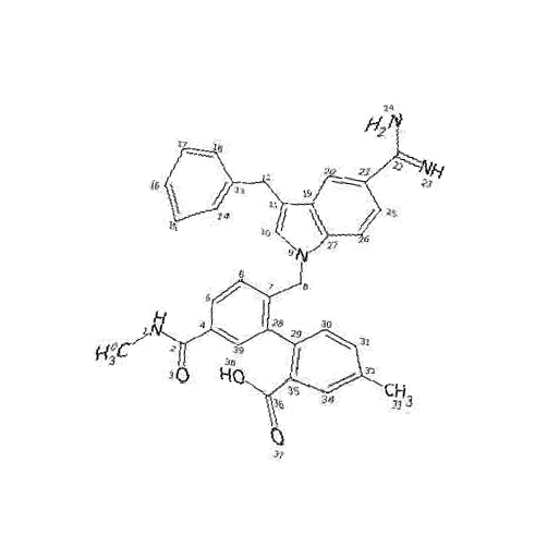 CNC(=O)c1ccc(Cn2cc(Cc3ccccc3)c3cc(C(=N)N)ccc32)c(-c2ccc(C)cc2C(=O)O)c1